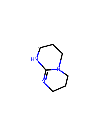 [CH]1CCN2CCCN=C2N1